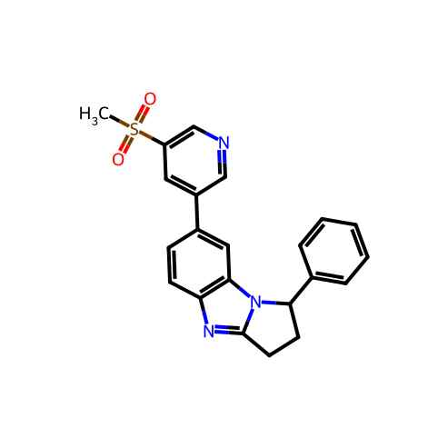 CS(=O)(=O)c1cncc(-c2ccc3nc4n(c3c2)C(c2ccccc2)CC4)c1